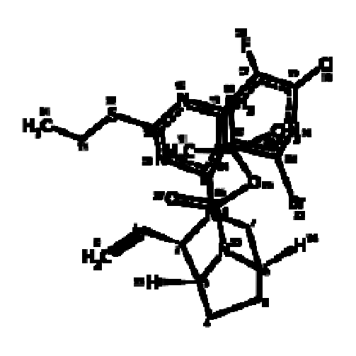 C=C[C@H]1[C@@H]2CC[C@H](CN1c1nc(SCC)nc3c(F)c(Cl)nc(Br)c13)N2C(=O)OC(C)(C)C